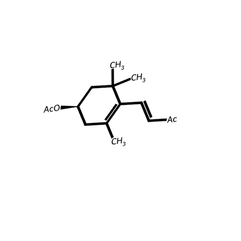 CC(=O)/C=C/C1=C(C)C[C@@H](OC(C)=O)CC1(C)C